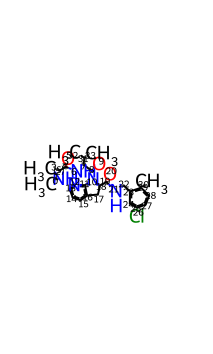 CN[C@@H](C)C(=O)NC(C(=O)N1c2ncccc2CC1C(=O)NCc1cc(Cl)ccc1C)C(C)C